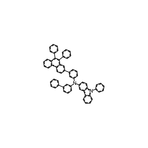 c1ccc(-c2cccc(N(c3cccc(-c4ccc5c(c4)c(-c4ccccc4)c(-c4ccccc4)c4ccccc45)c3)c3ccc4c(c3)c3ccccc3n4-c3ccccc3)c2)cc1